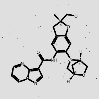 C[C@]1(CO)Cc2cc(NC(=O)c3cnn4cccnc34)c(N3C[C@@H]4C[C@H]3CO4)cc2O1